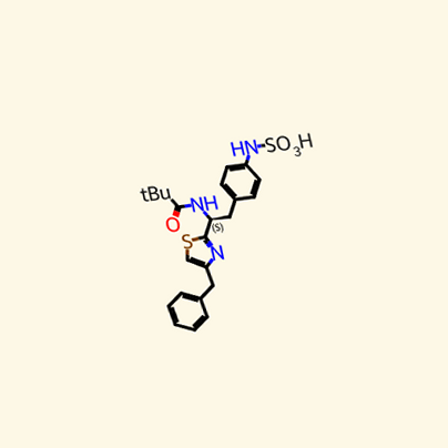 CC(C)(C)C(=O)N[C@@H](Cc1ccc(NS(=O)(=O)O)cc1)c1nc(Cc2ccccc2)cs1